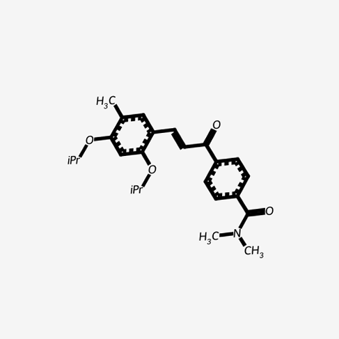 Cc1cc(/C=C/C(=O)c2ccc(C(=O)N(C)C)cc2)c(OC(C)C)cc1OC(C)C